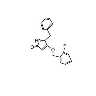 O=C1C=C(OCc2ccccc2F)C(Cc2ccccc2)N1